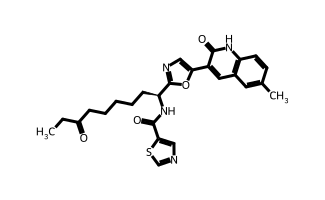 CCC(=O)CCCCC[C@H](NC(=O)c1cncs1)c1ncc(-c2cc3cc(C)ccc3[nH]c2=O)o1